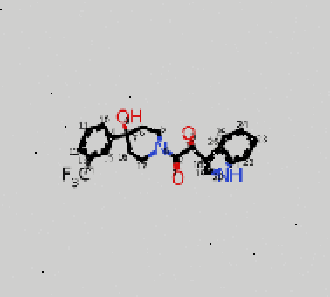 O=C(C(=O)N1CCC(O)(c2cccc(C(F)(F)F)c2)CC1)c1c[nH]c2ccccc12